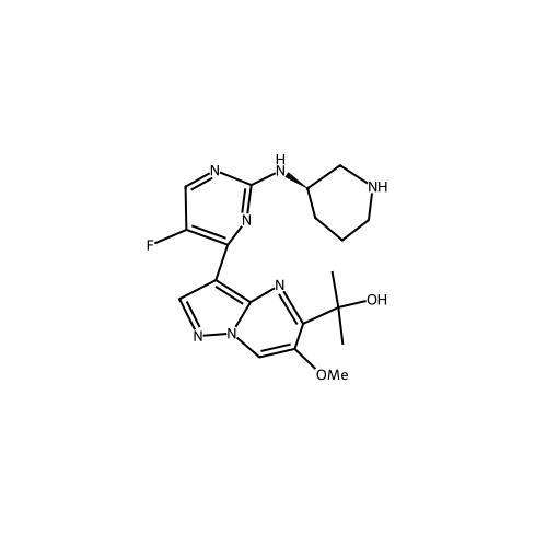 COc1cn2ncc(-c3nc(N[C@@H]4CCCNC4)ncc3F)c2nc1C(C)(C)O